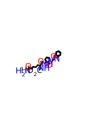 NC(=O)C=CCCC(NC(=O)O)C(=O)Nc1cccn(Cc2nc3ccccc3o2)c1=O